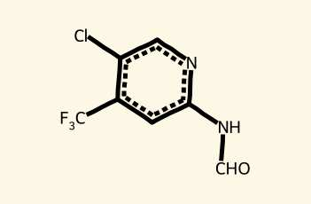 O=CNc1cc(C(F)(F)F)c(Cl)cn1